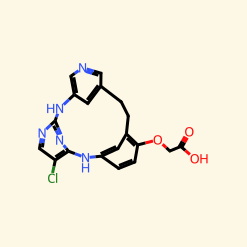 O=C(O)COc1ccc2cc1CCc1cncc(c1)Nc1ncc(Cl)c(n1)N2